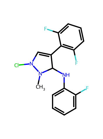 CN1C(Nc2ccccc2F)C(c2c(F)cccc2F)=CN1Cl